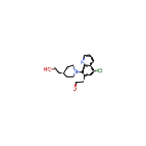 O=CCc1cc(Cl)c2cccnc2c1N1CCC(CCO)CC1